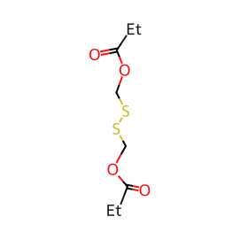 CCC(=O)OCSSCOC(=O)CC